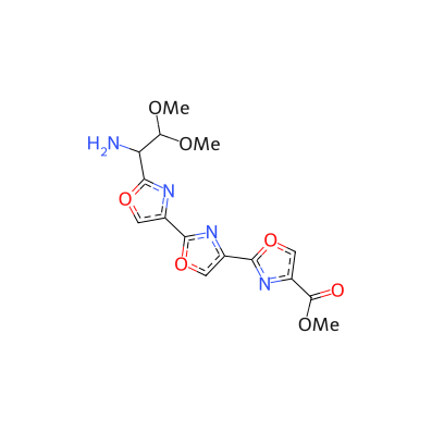 COC(=O)c1coc(-c2coc(-c3coc(C(N)C(OC)OC)n3)n2)n1